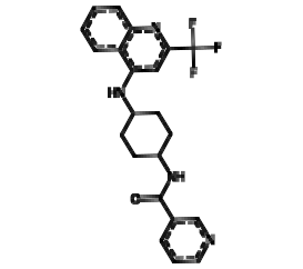 O=C(NC1CCC(Nc2cc(C(F)(F)F)nc3ccccc23)CC1)c1cccnc1